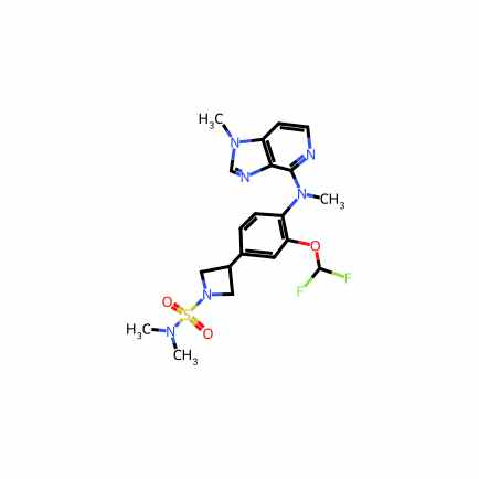 CN(c1ccc(C2CN(S(=O)(=O)N(C)C)C2)cc1OC(F)F)c1nccc2c1ncn2C